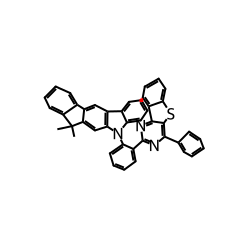 CC1(C)c2ccccc2-c2cc3c4ccccc4n(-c4ccccc4-c4nc(-c5ccccc5)c5sc6ccccc6c5n4)c3cc21